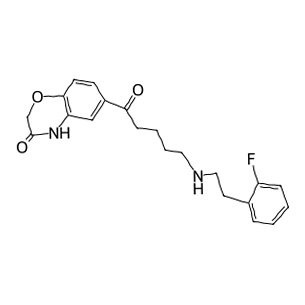 O=C1COc2ccc(C(=O)CCCCNCCc3ccccc3F)cc2N1